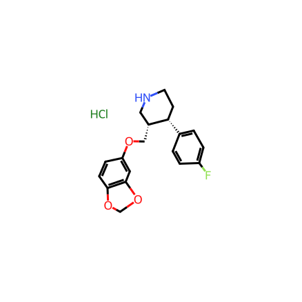 Cl.Fc1ccc([C@H]2CCNC[C@H]2COc2ccc3c(c2)OCO3)cc1